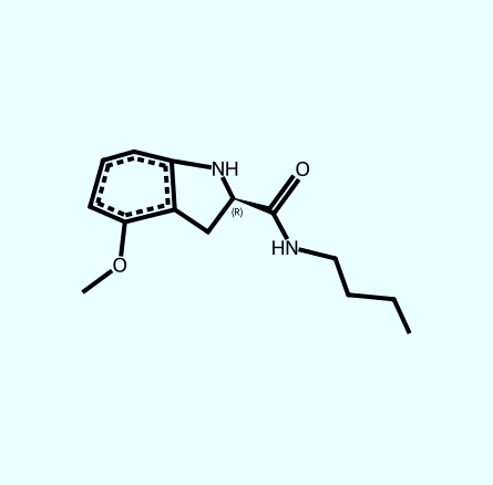 CCCCNC(=O)[C@H]1Cc2c(cccc2OC)N1